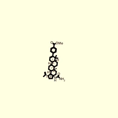 C=C(C)[C@@H]1CC[C@]2(NC(N)=O)CC[C@]3(C)[C@H](CC[C@@H]4[C@@]5(C)CC=C(c6ccc(C(=O)OC)cc6)C(C)(C)[C@@H]5CC[C@]43C)[C@@H]12